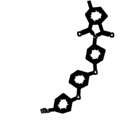 Cc1ccc2c(c1)C(=O)N(c1ccc(Oc3cccc(Oc4ccc(C(C)(C)C)cc4)c3)cc1)C2=O